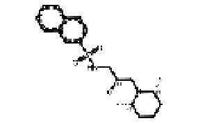 C[C@@H]1CCC[C@H](C)N1C[C@@H](O)CNS(=O)(=O)c1ccc2ccccc2c1